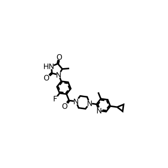 Cc1cc(C2CC2)cnc1N1CCN(C(=O)c2ccc(N3C(=O)NC(=O)C3C)cc2F)CC1